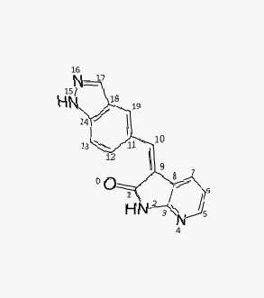 O=C1Nc2ncccc2/C1=C/c1ccc2[nH]ncc2c1